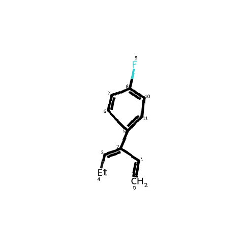 C=C/C(=C\CC)c1ccc(F)cc1